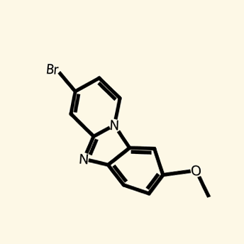 COc1ccc2nc3cc(Br)ccn3c2c1